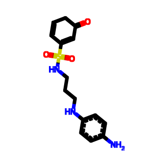 Nc1ccc(NCCCNS(=O)(=O)C2=CC(=O)CC=C2)cc1